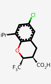 CC(C)c1cc(Cl)cc2c1O[C@H](C(F)(F)F)[C@H](C(=O)O)C2